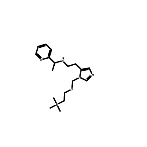 CC(NCCc1cncn1COCC[Si](C)(C)C)c1ccccn1